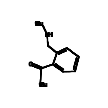 CC(C)(C)NCc1ccccc1C(=O)C(C)(C)C